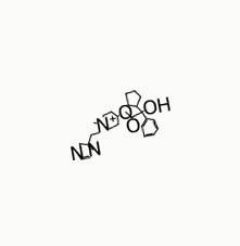 C[N+]1(CCc2cnccn2)CCC(OC(=O)C(O)(c2ccccc2)C2CCCC2)CC1